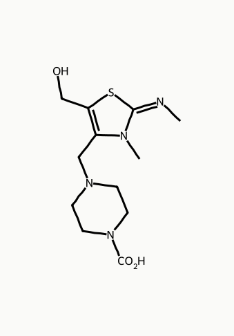 CN=c1sc(CO)c(CN2CCN(C(=O)O)CC2)n1C